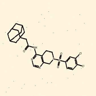 O=C(CC12CC3CC(CC(C3)C1)C2)Nc1ncnc2c1CCN(S(=O)(=O)c1ccc(Cl)c(Cl)c1)C2